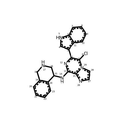 Clc1c(-c2c[nH]c3ccccc23)nc(NC2CNCc3ccccc32)c2nccn12